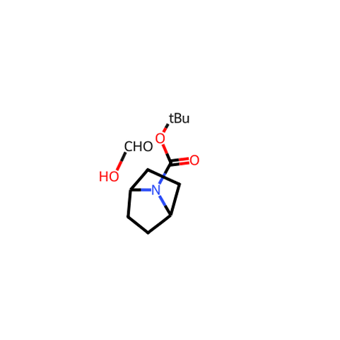 CC(C)(C)OC(=O)N1C2CCC1CC2.O=CO